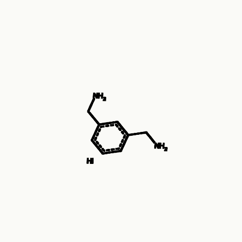 I.NCc1cccc(CN)c1